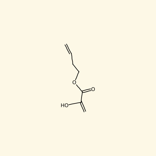 C=CCCOC(=O)C(=C)O